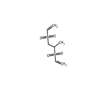 C=CS(=O)(=O)CC(C)S(=O)(=O)C=C